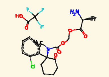 CC(C)[C@H](N)C(=O)OCOC(=O)N(C)[C@]1(c2ccccc2Cl)CCCCC1=O.O=C(O)C(F)(F)F